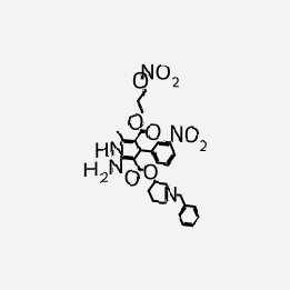 CC1=C(C(=O)OCCCO[N+](=O)[O-])C(c2cccc([N+](=O)[O-])c2)C(C(=O)OC2CCCN(Cc3ccccc3)C2)=C(N)N1